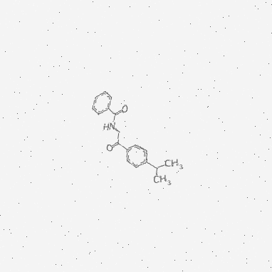 CC(C)c1ccc(C(=O)CNC(=O)c2ccccc2)cc1